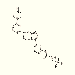 O=C(NCC(F)(F)F)Nc1cccc(-c2cnc3cc(-c4cc(N5CCNCC5)ccn4)ccn23)c1